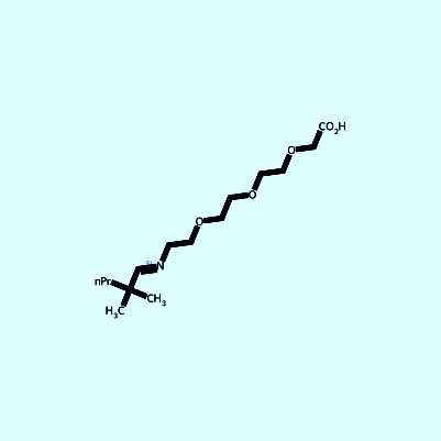 CCCC(C)(C)/C=N/CCOCCOCCOCC(=O)O